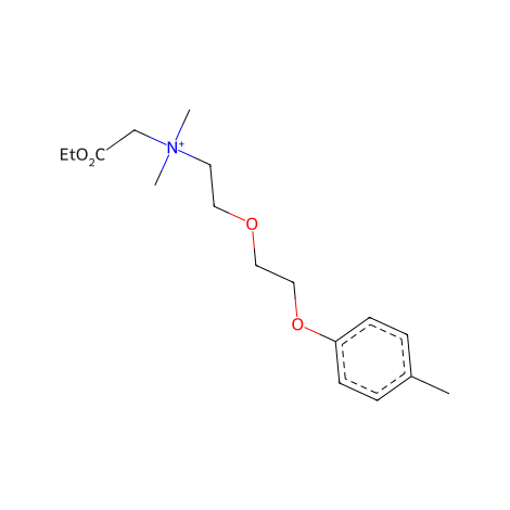 CCOC(=O)C[N+](C)(C)CCOCCOc1ccc(C)cc1